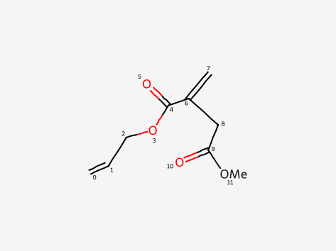 C=CCOC(=O)C(=C)CC(=O)OC